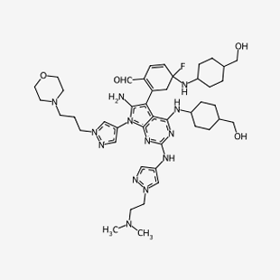 CN(C)CCn1cc(Nc2nc(NC3CCC(CO)CC3)c3c(C4=C(C=O)C=CC(F)(NC5CCC(CO)CC5)C4)c(N)n(-c4cnn(CCCN5CCOCC5)c4)c3n2)cn1